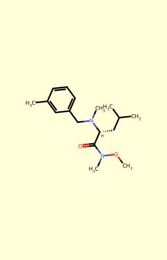 CON(C)C(=O)[C@@H](CC(C)C)N(C)Cc1cccc(C)c1